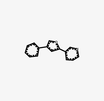 c1ccc(-c2coc(-c3cccnc3)c2)cc1